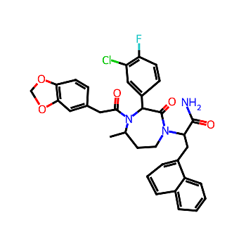 CC1CCN(C(Cc2cccc3ccccc23)C(N)=O)C(=O)C(c2ccc(F)c(Cl)c2)N1C(=O)Cc1ccc2c(c1)OCO2